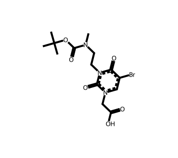 CN(CCn1c(=O)c(Br)cn(CC(=O)O)c1=O)C(=O)OC(C)(C)C